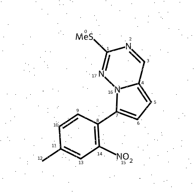 CSc1ncc2ccc(-c3ccc(C)cc3[N+](=O)[O-])n2n1